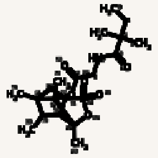 CCC(C)(C)C(=O)NCC(=O)OC1(C)C2(C)CC3C(C2C)C1(C)OS3(=O)=O